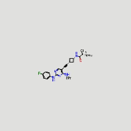 CCCNc1nc(Nc2ccc(F)cc2)ncc1C#C[C@H]1C[C@@H](NC(=O)[C@H](C)NC)C1